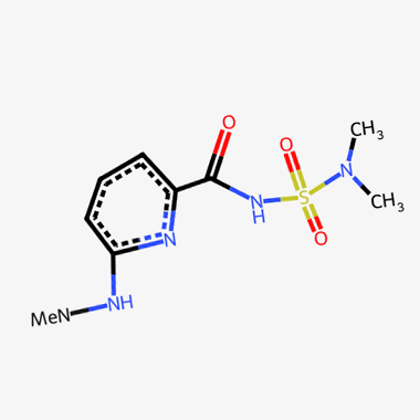 CNNc1cccc(C(=O)NS(=O)(=O)N(C)C)n1